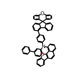 c1ccc(-c2cccc(N(c3ccc(-c4cccc5c4-c4ccccc4C54c5ccccc5Oc5ccccc54)cc3)c3cccc4ccc5c6ccccc6oc5c34)c2)cc1